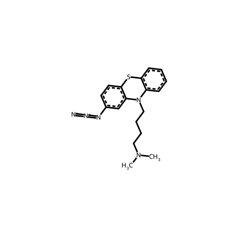 CN(C)CCCCN1c2ccccc2Sc2ccc(N=[N+]=[N-])cc21